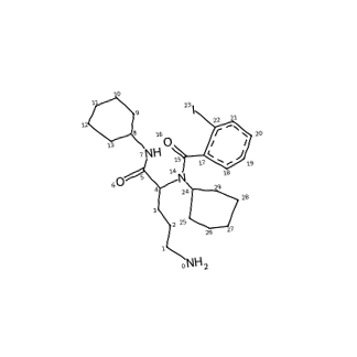 NCCCC(C(=O)NC1CCCCC1)N(C(=O)c1ccccc1I)C1CCCCC1